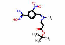 CN(CCC(=O)OC(C)(C)C)Cc1ccc(/C(N)=N/O)cc1[N+](=O)[O-]